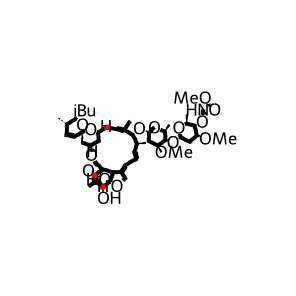 CCC(C)[C@H]1O[C@]2(C=C[C@@H]1C)C[C@@H]1C[C@@H](C/C=C(\C)[C@@H](O[C@H]3C[C@H](OC)[C@@H](O[C@H]4C[C@H](OC)[C@@H](ONC(=O)OC)[C@H](C)O4)[C@H](C)O3)[C@@H](C)/C=C/C=C3\CO[C@@H]4[C@H](O)C(C)=C[C@@H](C(=O)O1)[C@]34O)O2